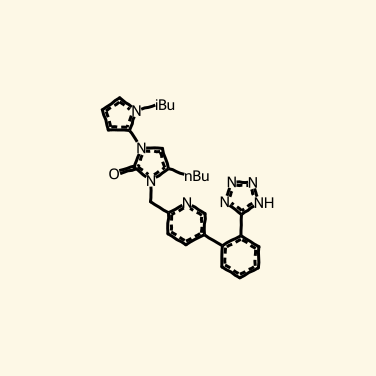 CCCCc1cn(-c2cccn2C(C)CC)c(=O)n1Cc1ccc(-c2ccccc2-c2nnn[nH]2)cn1